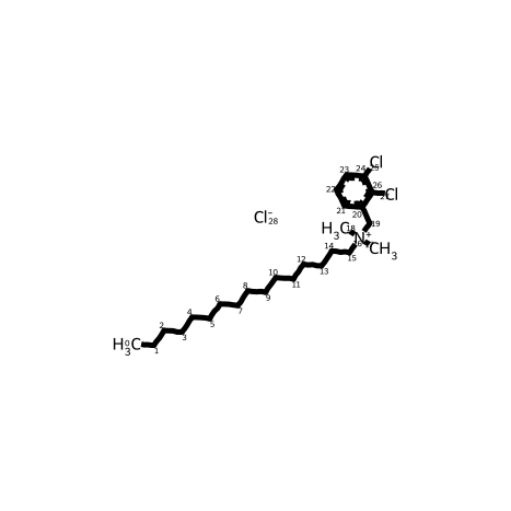 CCCCCCCCCCCCCCCC[N+](C)(C)Cc1cccc(Cl)c1Cl.[Cl-]